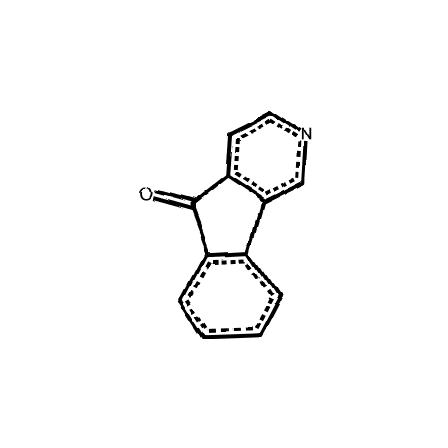 O=C1c2ccccc2-c2cnccc21